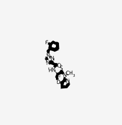 CN1C(=S)[C@@H](NC(=O)c2ncn(Cc3ccccc3F)n2)COc2cccnc21